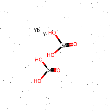 O=[Si](O)O.O=[Si](O)O.[Y].[Yb]